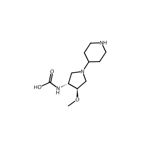 CO[C@@H]1CN(C2CCNCC2)C[C@H]1NC(=O)O